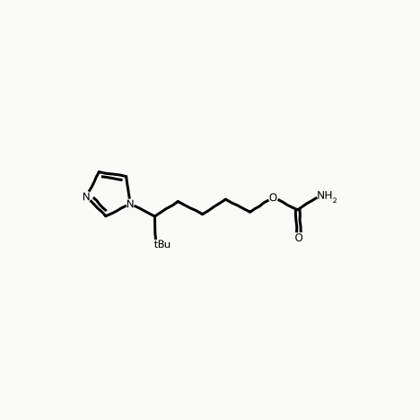 CC(C)(C)C(CCCCOC(N)=O)n1ccnc1